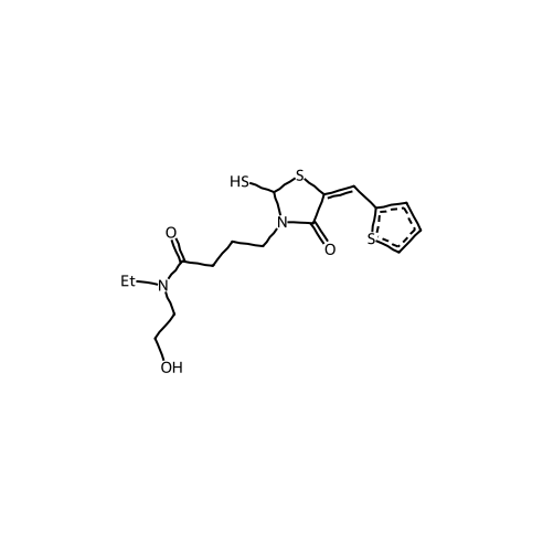 CCN(CCO)C(=O)CCCN1C(=O)/C(=C\c2cccs2)SC1S